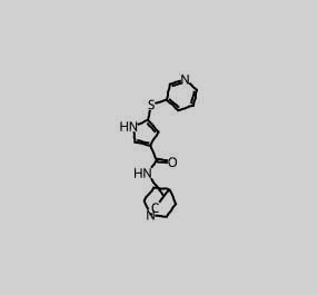 O=C(NC1CN2CCC1CC2)c1c[nH]c(Sc2cccnc2)c1